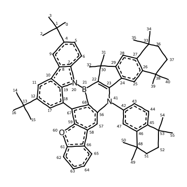 CC(C)(C)c1ccc2c(c1)c1cc(C(C)(C)C)cc3c1n2B1C2=C(c4cc5c(cc4C2(C)C)C(C)(C)CCC5(C)C)N(c2ccc4c(c2)C(C)(C)CCC4(C)C)c2cc4c(oc5ccccc54)c-3c21